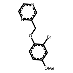 COc1ccc(OCc2cnccn2)c(Br)c1